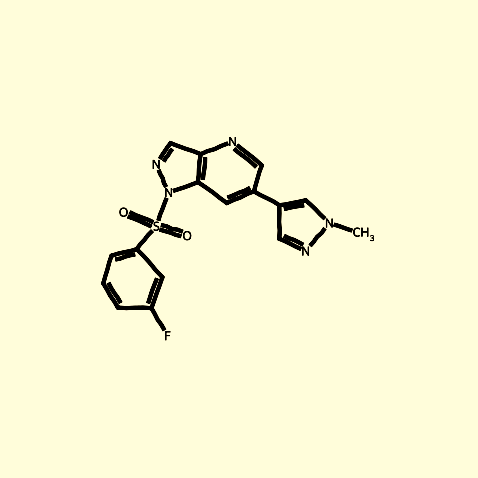 Cn1cc(-c2cnc3cnn(S(=O)(=O)c4cccc(F)c4)c3c2)cn1